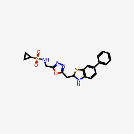 O=S(=O)(NCc1nnc(CC2Nc3ccc(-c4ccccc4)cc3S2)o1)C1CC1